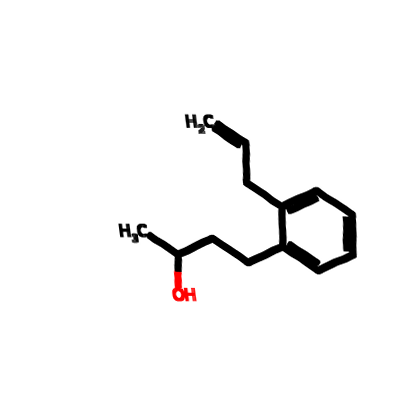 C=CCc1ccccc1CCC(C)O